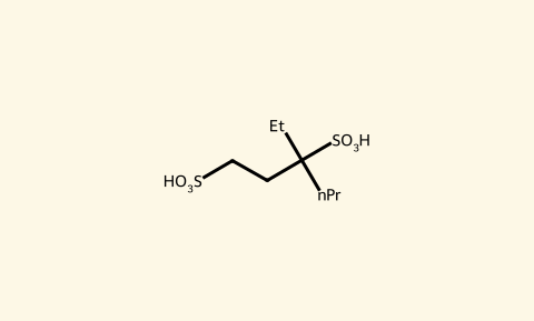 CCCC(CC)(CCS(=O)(=O)O)S(=O)(=O)O